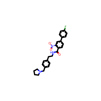 O=C(NCCc1ccc(CN2CCCC2)cc1)c1ccc(-c2ccc(F)cc2)cc1[N+](=O)[O-]